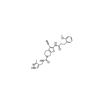 COc1ccccc1CCC(=O)Nc1sc2c(c1C#N)CCN(C(=O)NCc1c[nH]nc1C)C2